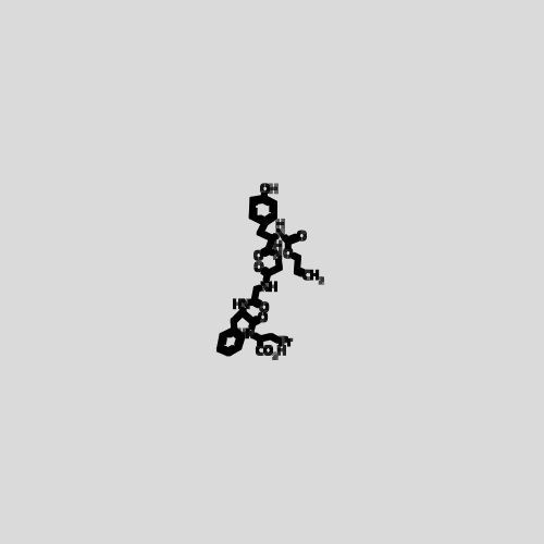 C=CCOC(=O)NC(Cc1ccc(O)cc1)C(=O)NCC(=O)NCC(=O)NC(Cc1ccccc1)C(=O)NC(CC(C)C)C(=O)O